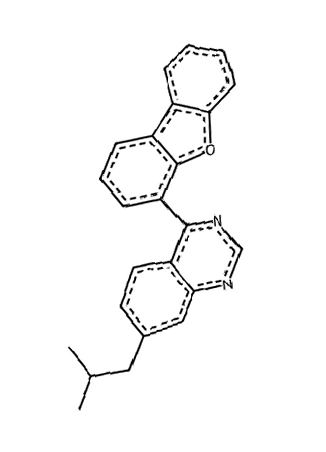 CC(C)Cc1ccc2c(-c3cccc4c3oc3ccccc34)ncnc2c1